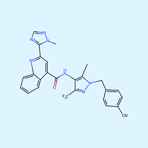 Cc1c(NC(=O)c2cc(-c3ncnn3C)nc3ccccc23)c(C(F)(F)F)nn1Cc1ccc(C#N)cc1